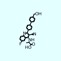 CC(Nc1c(C#N)c(-c2ccc(-c3ccc(CO)cc3)cc2)nc2ccc(F)cc12)C(=O)O